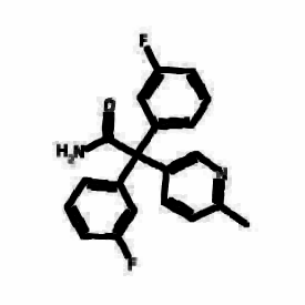 Cc1ccc(C(C(N)=O)(c2cccc(F)c2)c2cccc(F)c2)cn1